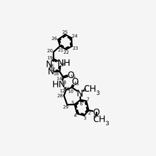 COc1ccc2c(c1)N(C)C(=O)[C@H](NC(=O)c1nnc(Cc3ccccc3)[nH]1)CC2